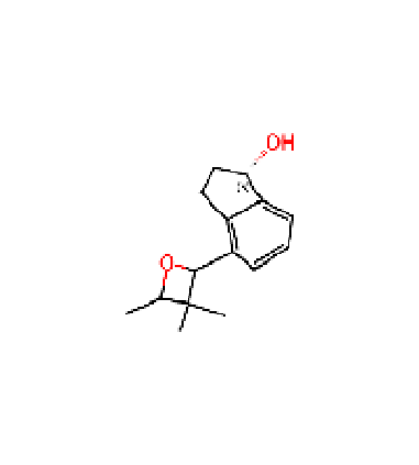 CC1OC(c2cccc3c2CC[C@@H]3O)C1(C)C